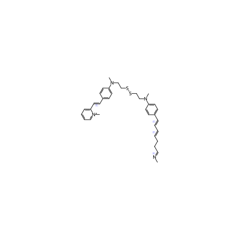 C/N=C/CC/C=C/C=C/c1ccc(N(C)CCSSCCN(C)c2ccc(/C=C/c3cccc[n+]3C)cc2)cc1